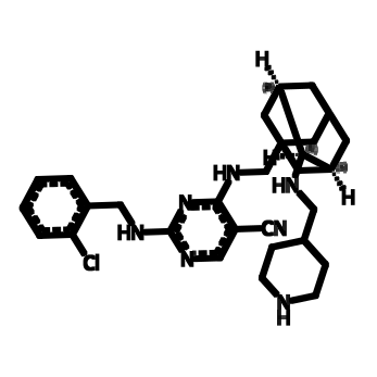 N#Cc1cnc(NCc2ccccc2Cl)nc1NCC12CC3C[C@H](C1)[C@H](NCC1CCNCC1)[C@@H](C3)C2